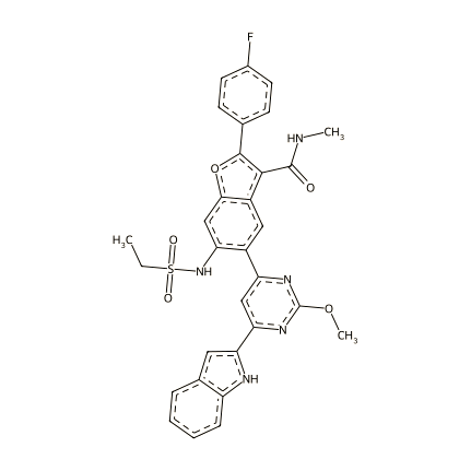 CCS(=O)(=O)Nc1cc2oc(-c3ccc(F)cc3)c(C(=O)NC)c2cc1-c1cc(-c2cc3ccccc3[nH]2)nc(OC)n1